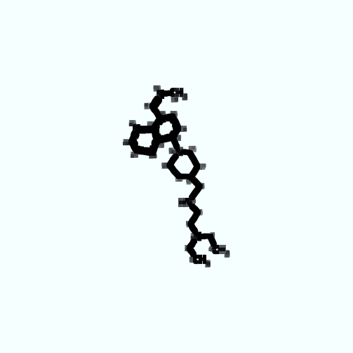 CCN(CC)CCNCC1CCN(c2ccc(/C=N\C)c3ncccc23)CC1